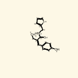 CCC(=Cc1ccc(O)cc1)C(=O)NCc1cccs1